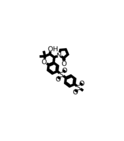 CC1(C)Oc2ccc(S(=O)(=O)c3ccc(S(C)(=O)=O)cc3)cc2C(N2CCCC2=O)C1O